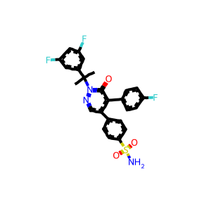 CC(C)(c1cc(F)cc(F)c1)n1ncc(-c2ccc(S(N)(=O)=O)cc2)c(-c2ccc(F)cc2)c1=O